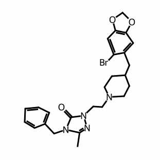 Cc1nn(CCN2CCC(Cc3cc4c(cc3Br)OCO4)CC2)c(=O)n1Cc1ccccc1